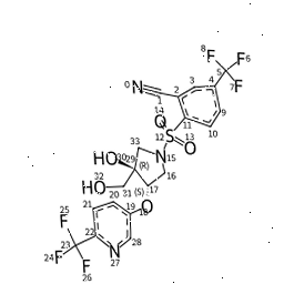 N#Cc1cc(C(F)(F)F)ccc1S(=O)(=O)N1C[C@H](Oc2ccc(C(F)(F)F)nc2)[C@](O)(CO)C1